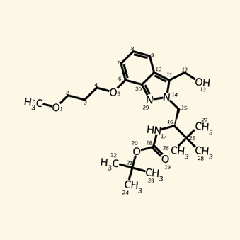 COCCCOc1cccc2c(CO)n(C[C@H](NC(=O)OC(C)(C)C)C(C)(C)C)nc12